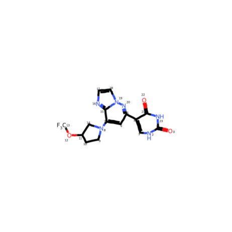 O=c1[nH]cc(-c2cc(N3CCC(OC(F)(F)F)C3)c3nccn3n2)c(=O)[nH]1